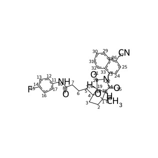 CC12CCC(CCCC(=O)Nc3ccc(F)cc3)(O1)[C@@H]1C(=O)N(c3ccc(C#N)c4ccccc34)C(=O)[C@@H]12